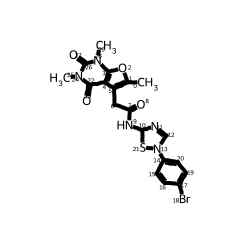 Cc1oc2c(c1CC(=O)NC1N=CN(c3ccc(Br)cc3)S1)c(=O)n(C)c(=O)n2C